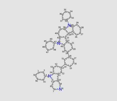 c1ccc(-n2c3ccncc3c3cc(-c4cccc(-c5ccc6c7c8c9ccccc9n(-c9ccccc9)c8ccc7n(-c7ccccc7)c6c5)c4)ccc32)cc1